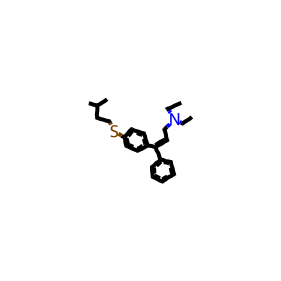 CCN(CC)CC=C(c1ccccc1)c1ccc(SCCC(C)C)cc1